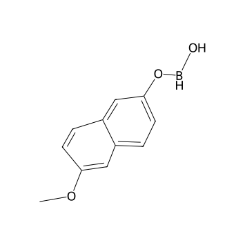 COc1ccc2cc(OBO)ccc2c1